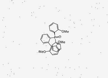 COc1ccccc1[P@@](=O)(c1ccccc1)c1ccccc1-c1c(OC)cccc1OC